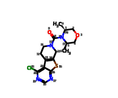 C[C@@H]1COC[C@@H](C)N1C(=O)N1CCc2c(sc3ncnc(Cl)c23)C1